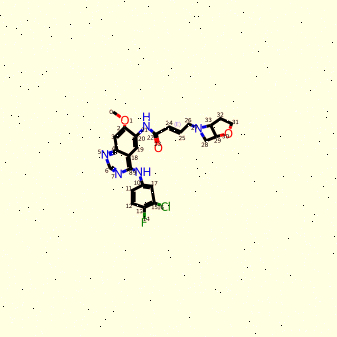 COc1cc2ncnc(Nc3ccc(F)c(Cl)c3)c2cc1NC(=O)/C=C/CN1CC2OCCC21